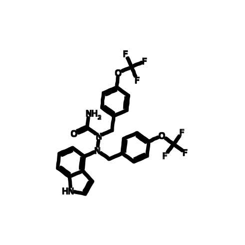 NC(=O)N(Cc1ccc(OC(F)(F)F)cc1)N(Cc1ccc(OC(F)(F)F)cc1)c1cccc2[nH]ccc12